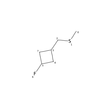 CSCC1CC(F)C1